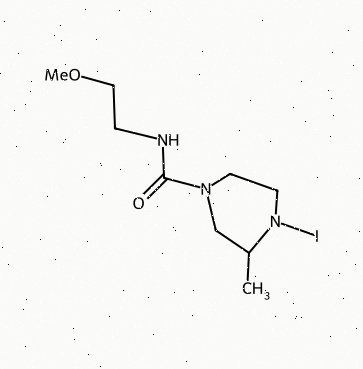 COCCNC(=O)N1CCN(I)C(C)C1